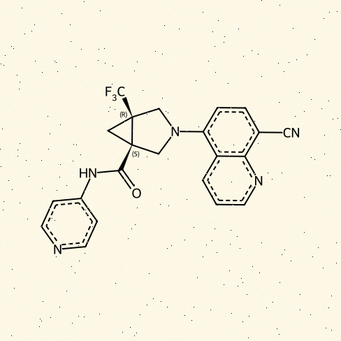 N#Cc1ccc(N2C[C@]3(C(=O)Nc4ccncc4)C[C@]3(C(F)(F)F)C2)c2cccnc12